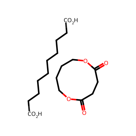 O=C(O)CCCCCCCCC(=O)O.O=C1CCC(=O)OCCCCO1